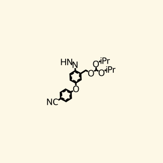 CC(C)OC(OCc1cc(Oc2ccc(C#N)cc2)ccc1N=N)OC(C)C